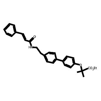 CCOC(=O)C(C)(C)Oc1ccc(-c2ccc(CCNC(=O)C=Cc3ccccc3)cc2)cc1